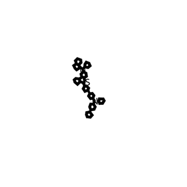 c1ccc(-c2ccc(N(c3ccccc3)c3ccc(-c4ccc5c(c4)sc4c6ccc(N(c7ccccc7)c7cccc8ccccc78)cc6c6ccccc6c54)cc3)cc2)cc1